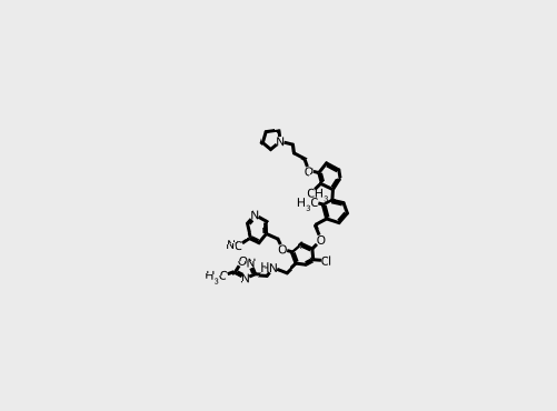 Cc1nc(CNCc2cc(Cl)c(OCc3cccc(-c4cccc(OCCCN5CCCC5)c4C)c3C)cc2OCc2cncc(C#N)c2)no1